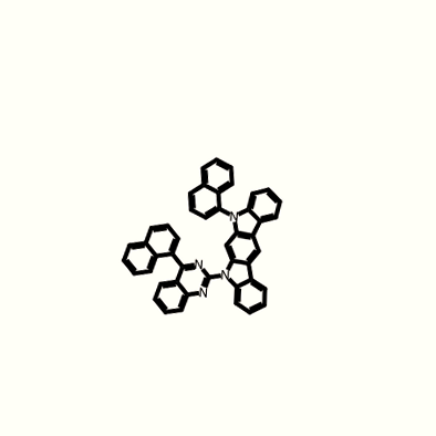 c1ccc2c(-c3nc(-n4c5ccccc5c5cc6c7ccccc7n(-c7cccc8ccccc78)c6cc54)nc4ccccc34)cccc2c1